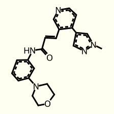 Cn1cc(-c2ccncc2C=CC(=O)Nc2cccc(N3CCOCC3)c2)cn1